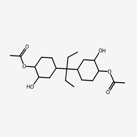 CCC(CC)(C1CCC(OC(C)=O)C(O)C1)C1CCC(OC(C)=O)C(O)C1